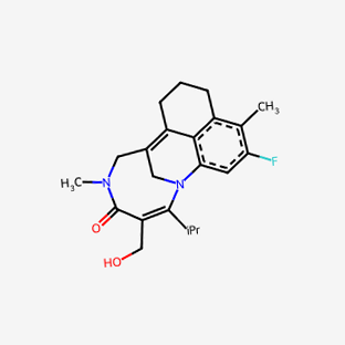 Cc1c(F)cc2c3c1CCCC3=C1CN(C)C(=O)/C(CO)=C(/C(C)C)N2C1